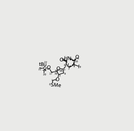 CSCOC1C[C@H](n2cc(I)c(=O)[nH]c2=O)O[C@@H]1CO[Si](C)(C)C(C)(C)C